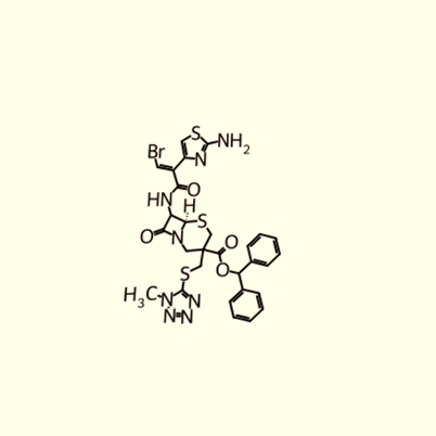 Cn1nnnc1SCC1(C(=O)OC(c2ccccc2)c2ccccc2)CS[C@@H]2C(NC(=O)C(=CBr)c3csc(N)n3)C(=O)N2C1